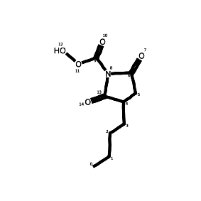 CCCCC1CC(=O)N(C(=O)OO)C1=O